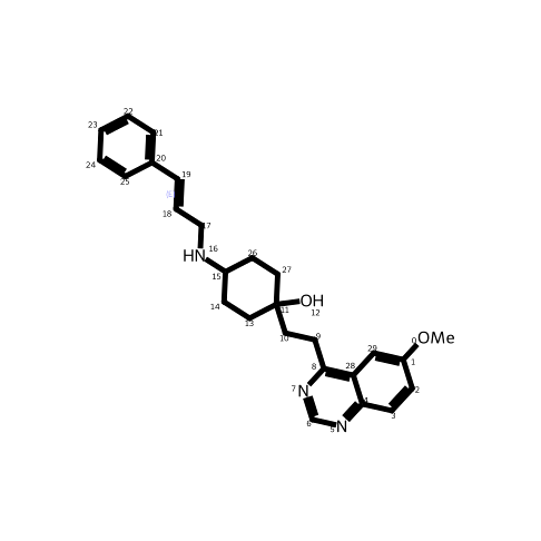 COc1ccc2ncnc(CCC3(O)CCC(NC/C=C/c4ccccc4)CC3)c2c1